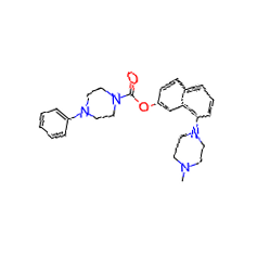 CN1CCN(c2cccc3ccc(OC(=O)N4CCN(c5ccccc5)CC4)cc23)CC1